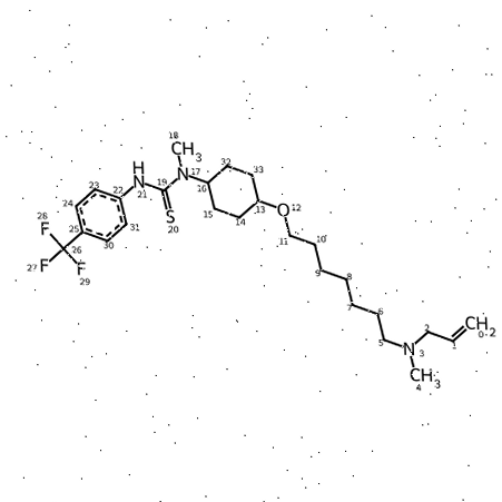 C=CCN(C)CCCCCCCOC1CCC(N(C)C(=S)Nc2ccc(C(F)(F)F)cc2)CC1